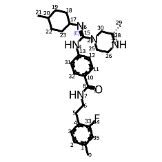 Cc1ccc(CCNC(=O)c2ccc(N/C(=N\C3CCC(C)CC3)N3CCN[C@@H](C)C3)cc2)c(F)c1